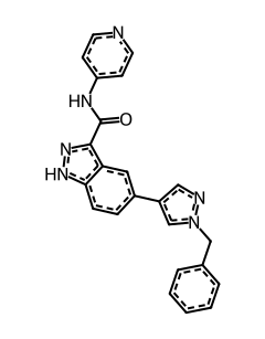 O=C(Nc1ccncc1)c1n[nH]c2ccc(-c3cnn(Cc4ccccc4)c3)cc12